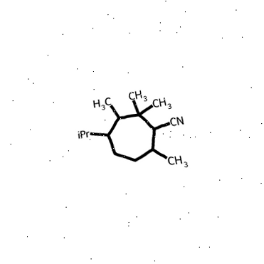 CC(C)C1CCC(C)C(C#N)C(C)(C)C1C